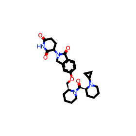 O=C1CCC(N2Cc3cc(OC[C@@H]4CCCCN4C(=O)[C@@H]4CCCCN4C4CC4)ccc3C2=O)C(=O)N1